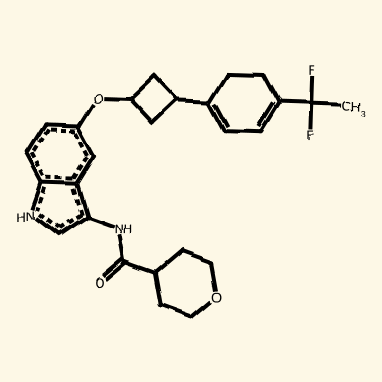 CC(F)(F)C1=CC=C(C2CC(Oc3ccc4[nH]cc(NC(=O)C5CCOCC5)c4c3)C2)CC1